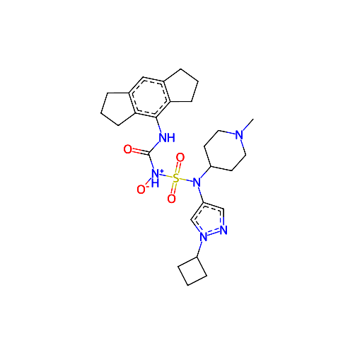 CN1CCC(N(c2cnn(C3CCC3)c2)S(=O)(=O)[NH+]([O-])C(=O)Nc2c3c(cc4c2CCC4)CCC3)CC1